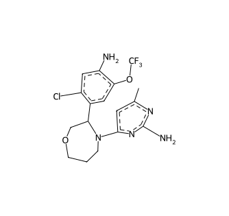 Cc1cc(N2CCCOCC2c2cc(OC(F)(F)F)c(N)cc2Cl)nc(N)n1